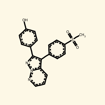 CS(=O)(=O)c1ccc(-c2c(-c3ccc(O)cc3)nn3ncccc23)cc1